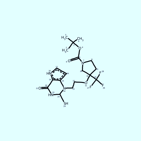 CC(C)(C)OC(=O)N1CCC(OCCN2c3cc[nH]c3C(=O)NC2S)(C(F)(F)F)C1